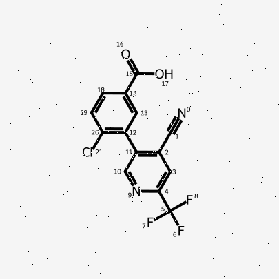 N#Cc1cc(C(F)(F)F)ncc1-c1cc(C(=O)O)ccc1Cl